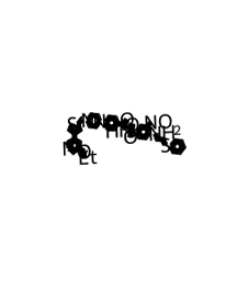 CCOc1cncc(-c2csc(CN3CCN(c4ccc(C(=O)NS(=O)(=O)c5ccc(NCCSc6ccccc6)c([N+](=O)[O-])c5)cc4)CC3)c2)c1